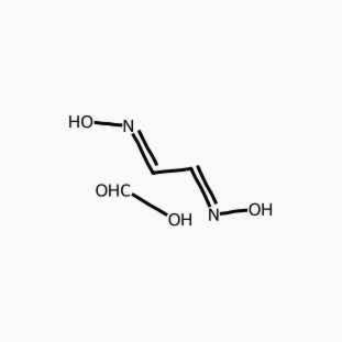 O/N=C/C=N/O.O=CO